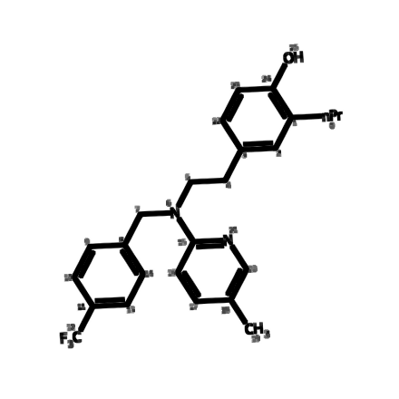 CCCc1cc(CCN(Cc2ccc(C(F)(F)F)cc2)c2ccc(C)cn2)ccc1O